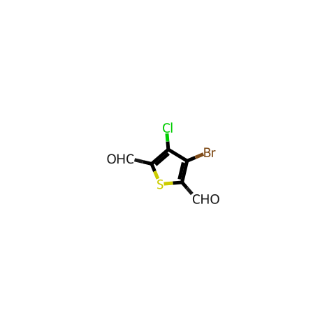 O=Cc1sc(C=O)c(Br)c1Cl